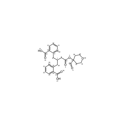 O=NC1(OC(=O)CC(Cc2ncccc2C(=O)O)Cc2ncccc2C(=O)O)CCOCC1